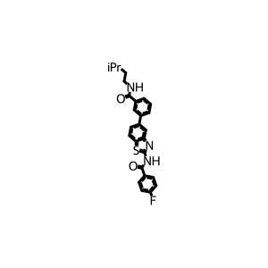 CC(C)CCNC(=O)c1cccc(-c2ccc3sc(NC(=O)c4ccc(F)cc4)nc3c2)c1